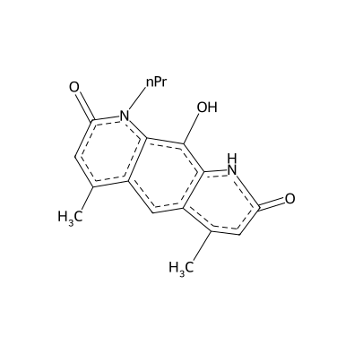 CCCn1c(=O)cc(C)c2cc3c(C)cc(=O)[nH]c3c(O)c21